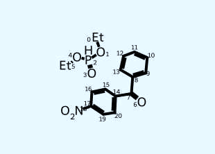 CCO[PH](=O)OCC.O=C(c1ccccc1)c1ccc([N+](=O)[O-])cc1